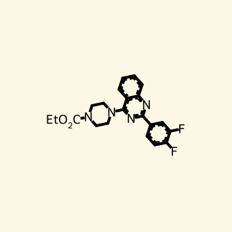 CCOC(=O)N1CCN(c2nc(-c3ccc(F)c(F)c3)nc3ccccc23)CC1